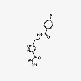 O=C(NCCc1cc(C(=O)NO)no1)c1ccc(F)cc1